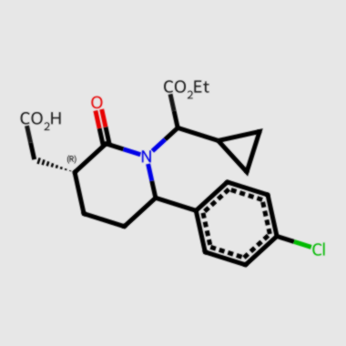 CCOC(=O)C(C1CC1)N1C(=O)[C@@H](CC(=O)O)CCC1c1ccc(Cl)cc1